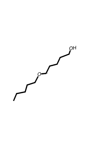 CCCCCO[CH]CCCCO